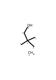 C.CC(C)(C)CO